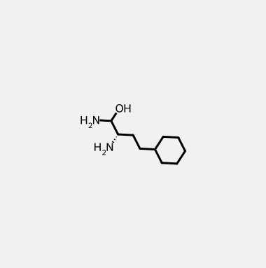 NC(O)[C@@H](N)CCC1CCCCC1